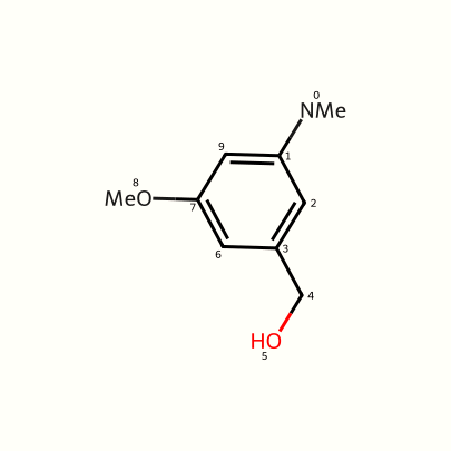 CNc1cc(CO)cc(OC)c1